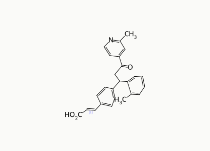 Cc1cc(C(=O)CC(c2ccc(/C=C/C(=O)O)cc2)c2ccccc2C)ccn1